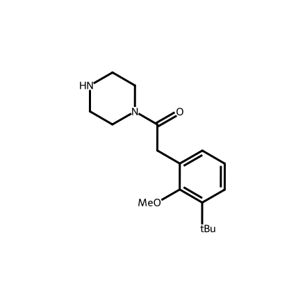 COc1c(CC(=O)N2CCNCC2)cccc1C(C)(C)C